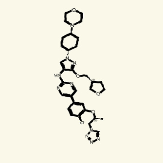 C[C@@H](Cn1cnnn1)Oc1cc(-c2cnc(Nc3cn([C@H]4CC[C@H](N5CCOCC5)CC4)nc3OC[C@H]3CCOC3)nc2)ccc1Cl